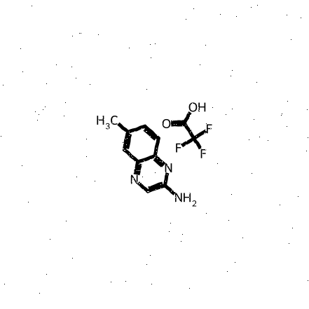 Cc1ccc2nc(N)cnc2c1.O=C(O)C(F)(F)F